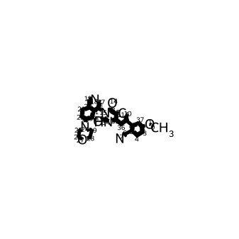 COc1ccc(C#N)c(-c2ccc3c(=O)n(-c4cncc5ccc(N6CCOCC6)cc45)c(=O)[nH]c3c2)c1